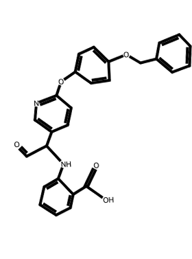 O=CC(Nc1ccccc1C(=O)O)c1ccc(Oc2ccc(OCc3ccccc3)cc2)nc1